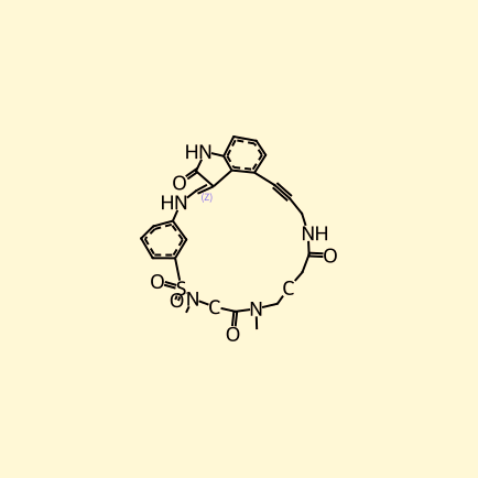 CN1CCCC(=O)NCC#Cc2cccc3c2/C(=C/Nc2cccc(c2)S(=O)(=O)N(C)CC1=O)C(=O)N3